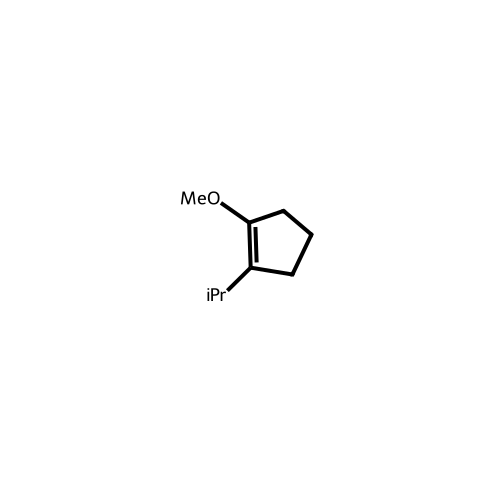 COC1=C(C(C)C)CCC1